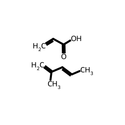 C=C(C)C=CC.C=CC(=O)O